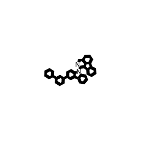 c1ccc(-c2cccc(-c3ccc4c(c3)c3ccccc3n4-c3ncc4cccc5c4c3-c3ccccc3-5)c2)cc1